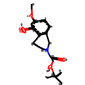 COc1ccc2c(c1O)CCN(C(=O)OC(C)(C)C)C2